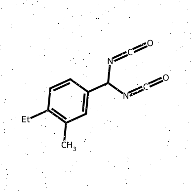 CCc1ccc(C(N=C=O)N=C=O)cc1C